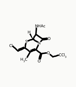 CC(=O)NC1C(=O)N2C(C(=O)OCC(Cl)(Cl)Cl)=C(C)/C(=C/Cl)S[C@H]12